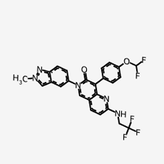 Cn1cc2cc(-n3cc4ccc(NCC(F)(F)F)nc4c(-c4ccc(OC(F)F)cc4)c3=O)ccc2n1